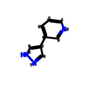 [c]1cncc(-c2cn[nH]c2)c1